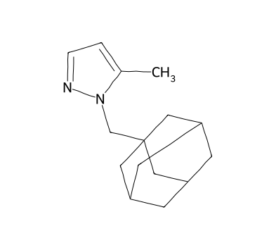 Cc1ccnn1CC12CC3CC(CC(C3)C1)C2